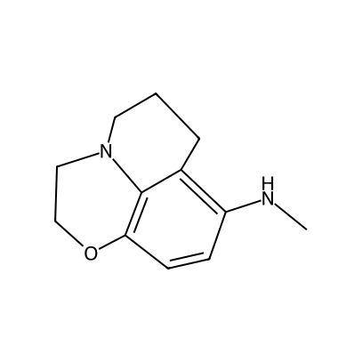 CNc1ccc2c3c1CCCN3CCO2